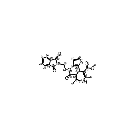 COC(=O)C1=C(C)NC(C)=C(C(=O)OCCN2C(=O)c3ccccc3C2=O)C1c1cccs1